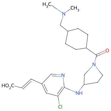 CN(C)CC1CCC(C(=O)N2CCC(Nc3ncc(/C=C/C(=O)O)cc3Cl)C2)CC1